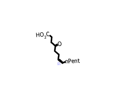 CCCCC/C=C\CCC(=O)CCC(=O)O